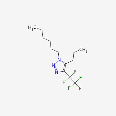 CCCCCCn1nnc(C(F)(F)C(F)(F)F)c1CCC